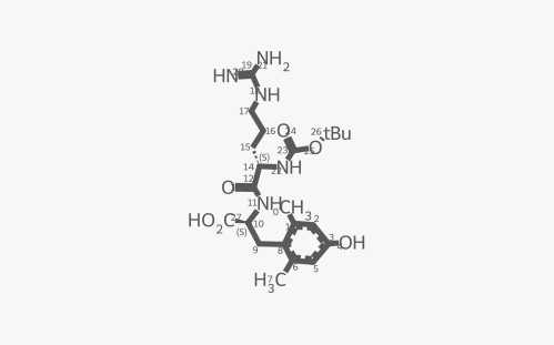 Cc1cc(O)cc(C)c1C[C@H](NC(=O)[C@H](CCCNC(=N)N)NC(=O)OC(C)(C)C)C(=O)O